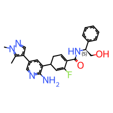 Cc1c(-c2cnc(N)c(C3C=C(F)C(C(=O)N[C@H](CO)c4ccccc4)=CC3)c2)cnn1C